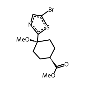 COC(=O)[C@H]1CC[C@](OC)(c2ncc(Br)s2)CC1